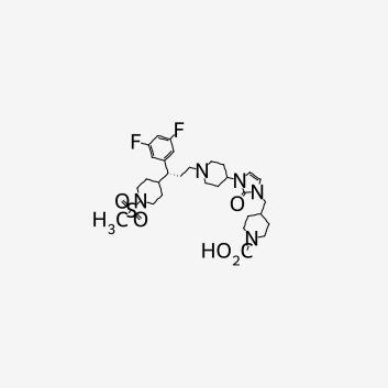 CS(=O)(=O)N1CCC([C@@H](CCN2CCC(n3ccn(CC4CCN(C(=O)O)CC4)c3=O)CC2)c2cc(F)cc(F)c2)CC1